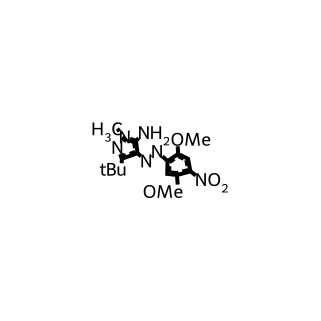 COc1cc([N+](=O)[O-])c(OC)cc1N=Nc1c(C(C)(C)C)nn(C)c1N